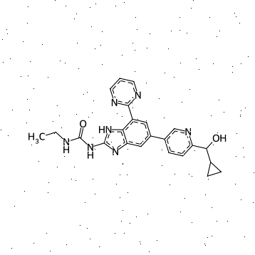 CCNC(=O)Nc1nc2cc(-c3ccc(C(O)C4CC4)nc3)cc(-c3ncccn3)c2[nH]1